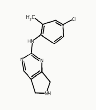 Cc1cc(Cl)ccc1Nc1ncc2c(n1)CNC2